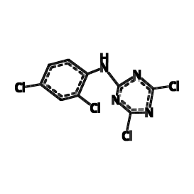 Clc1ccc(Nc2nc(Cl)nc(Cl)n2)c(Cl)c1